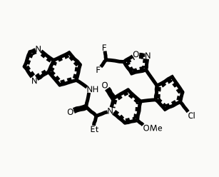 CCC(C(=O)Nc1ccc2nccnc2c1)n1cc(OC)c(-c2cc(Cl)ccc2-c2cc(C(F)F)on2)cc1=O